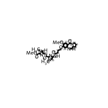 COC(=O)c1nc(NC(=O)c2nc(NC(=O)CCCOc3cc4c(cc3OC)C(=O)N3CCC[C@H]3C=N4)cn2C)cn1C